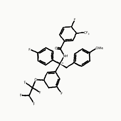 COc1ccc(C[C@@](NC(=O)C2=CC(C(F)(F)F)C(F)C=C2)(C2=CC(OC(F)(F)C(F)F)CC(F)=C2)c2ccc(F)cc2)cc1